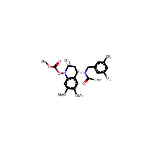 COC(=O)N(Cc1cc(C(F)(F)F)cc(C(F)(F)F)c1)[C@H]1C[C@@H](C)N(OC(=O)OC(C)(C)C)c2cc(OC)c(OC)cc21